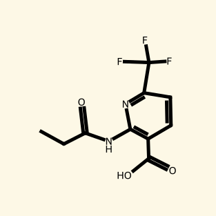 CCC(=O)Nc1nc(C(F)(F)F)ccc1C(=O)O